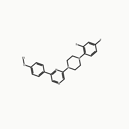 CCOc1ccc(-c2cncc(N3CCN(c4ccc(F)cc4F)CC3)n2)cc1